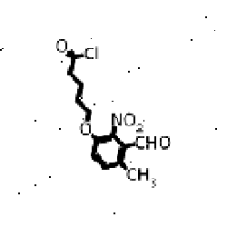 Cc1ccc(OCCCCC(=O)Cl)c([N+](=O)[O-])c1C=O